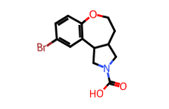 O=C(O)N1CC2CCOc3ccc(Br)cc3C2C1